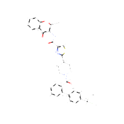 Cc1oc2ccccc2c(=O)c1NC(=O)c1csc(C2CCN(C(=O)c3ccccc3-c3ccc(C(F)(F)F)cc3)CC2)n1